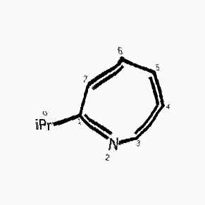 CC(C)C1=NC=C=CC=C1